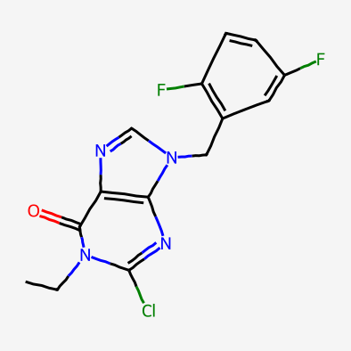 CCn1c(Cl)nc2c(ncn2Cc2cc(F)ccc2F)c1=O